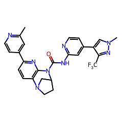 Cc1cc(-c2ccc3c(n2)N(C(=O)Nc2cc(-c4cn(C)nc4C(F)(F)F)ccn2)C2CCN3C2)ccn1